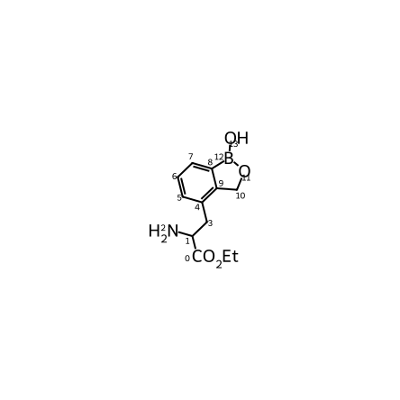 CCOC(=O)C(N)Cc1cccc2c1COB2O